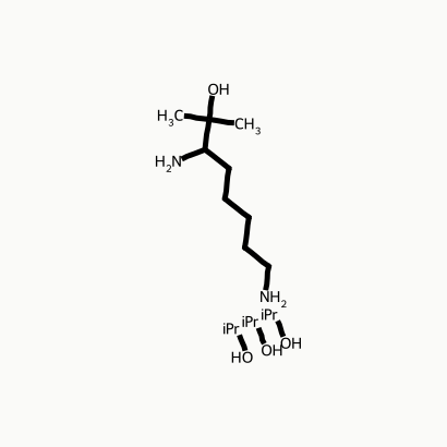 CC(C)(O)C(N)CCCCCN.CC(C)O.CC(C)O.CC(C)O